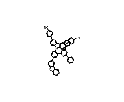 N#Cc1ccc(-c2ccc3c(c2)c2cc(-c4ccc(C#N)cc4)ccc2n3-c2ccc(-c3ccc4sc5ccccc5c4c3)cc2-c2nc(-c3ccccc3)nc(-c3ccccc3)n2)cc1